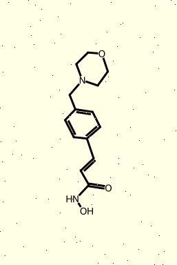 O=C(C=Cc1ccc(CN2CCOCC2)cc1)NO